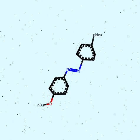 CCCCCCc1ccc(N=Nc2ccc(OCCCC)cc2)cc1